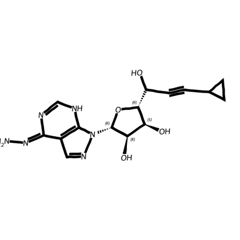 NN=c1nc[nH]c2c1cnn2[C@@H]1O[C@H](C(O)C#CC2CC2)[C@@H](O)[C@H]1O